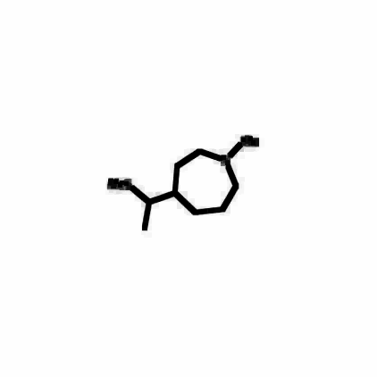 CSC(C)C1CCCN(C(C)(C)C)CC1